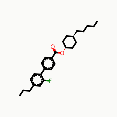 CCCCC[C@H]1CC[C@H](OC(=O)c2ccc(-c3ccc(CCC)cc3F)cc2)CC1